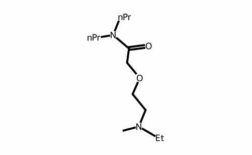 CCCN(CCC)C(=O)COCCN(C)CC